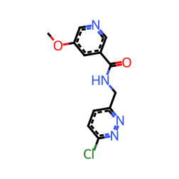 COc1cncc(C(=O)NCc2ccc(Cl)nn2)c1